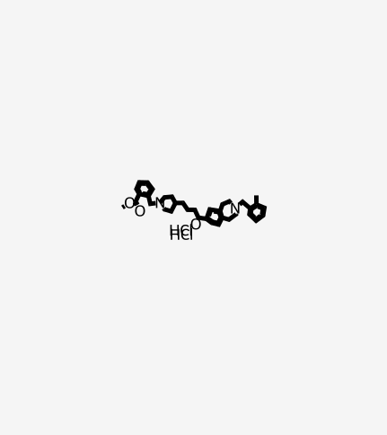 COC(=O)c1ccccc1CN1CCC(CCCC(=O)c2ccc3c(c2)CCN(Cc2ccccc2C)CC3)CC1.Cl.Cl